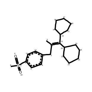 CC(Cc1ccc(S(C)(=O)=O)cc1)=C(C1CCCCC1)C1CCCCC1